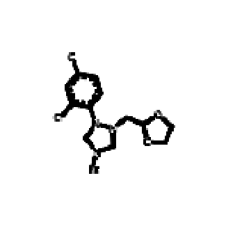 CCN1CN(CC2OCCO2)N(c2ccc(Cl)cc2Cl)C1